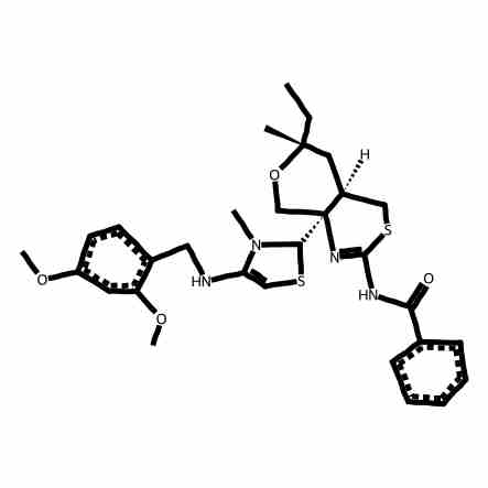 CC[C@]1(C)C[C@H]2CSC(NC(=O)c3ccccc3)=N[C@@]2(C2SC=C(NCc3ccc(OC)cc3OC)N2C)CO1